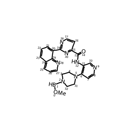 COBN1CCN(c2ccncc2NC(=O)c2ccnc(-c3cccc4cccnc34)n2)CC1